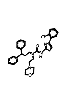 O=C(NC1=NC(c2ccccc2Cl)=CC1)N(CCC(c1ccccc1)c1ccccc1)CCN1CCOCC1